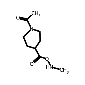 CNOC(=O)C1CCN(C(C)=O)CC1